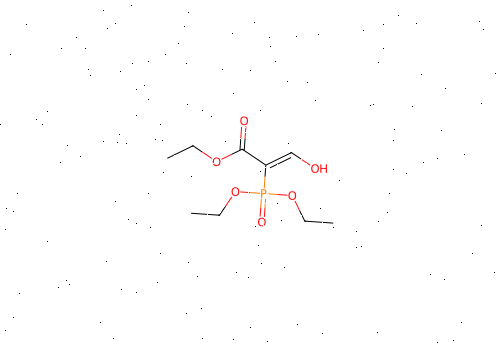 CCOC(=O)C(=CO)P(=O)(OCC)OCC